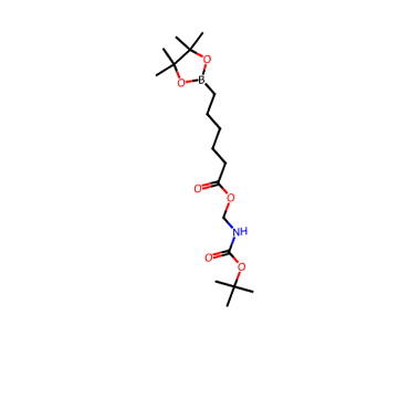 CC(C)(C)OC(=O)NCOC(=O)CCCCCB1OC(C)(C)C(C)(C)O1